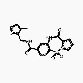 Cc1ccsc1CNC(=O)c1ccc2c(c1)NC(=O)c1cccn1S2(=O)=O